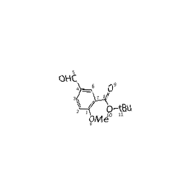 COc1ccc(C=O)cc1C(=O)OC(C)(C)C